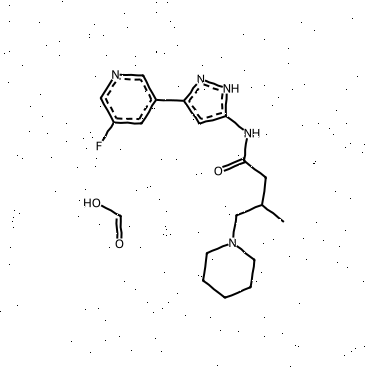 CC(CC(=O)Nc1cc(-c2cncc(F)c2)n[nH]1)CN1CCCCC1.O=CO